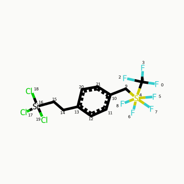 FC(F)(F)S(F)(F)(F)(F)Cc1ccc(CC[Si](Cl)(Cl)Cl)cc1